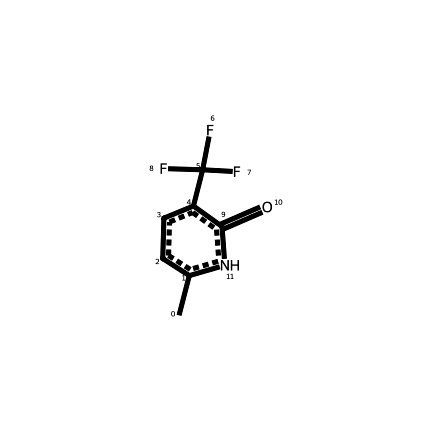 Cc1ccc(C(F)(F)F)c(=O)[nH]1